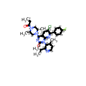 C=CC(=O)N1C[C@H](C)N(c2nc(=O)n(-c3c(C)ccnc3C(C)C)c3nc(-c4ccc(F)cc4)c(Cl)cc23)C[C@H]1C